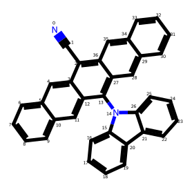 N#Cc1c2cc3ccccc3cc2c(-n2c3ccccc3c3ccccc32)c2cc3ccccc3cc12